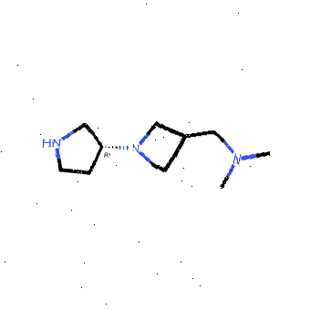 CN(C)CC1CN([C@@H]2CCNC2)C1